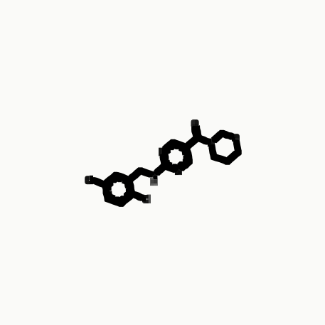 O=C(c1cnc(NCc2cc(Cl)ccc2Cl)nc1)N1CCCOC1